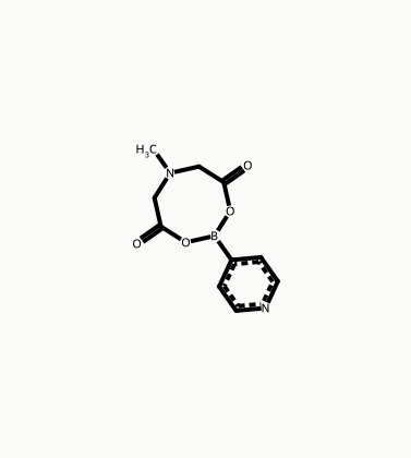 CN1CC(=O)OB(c2ccncc2)OC(=O)C1